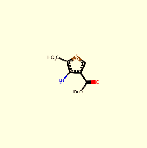 CC(C)COC(=O)c1csc(C(=O)O)c1N